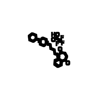 O=C(O)C(F)(F)F.O=C1CCC(=O)N(CCCCN2CCN(C3CCCCC3)CC2)c2ccccc21